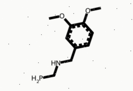 COc1ccc(CNCP)cc1OC